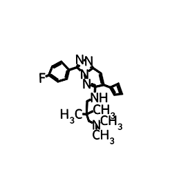 CN(C)CC(C)(C)CNc1nn2c(-c3ccc(F)cc3)nnc2cc1C1=CC=C1